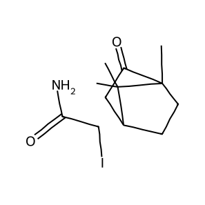 CC12CCC(CC1=O)C2(C)C.NC(=O)CI